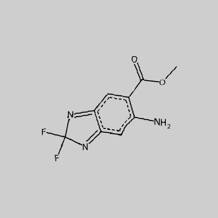 COC(=O)c1cc2c(cc1N)=NC(F)(F)N=2